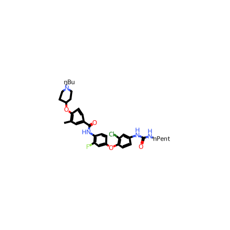 CCCCCNC(=O)Nc1ccc(Oc2ccc(NC(=O)c3ccc(OC4CCN(CCCC)CC4)c(C)c3)c(F)c2)c(Cl)c1